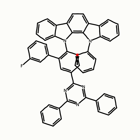 Fc1cccc(-c2cc(-c3nc(-c4ccccc4)nc(-c4ccccc4)n3)ccc2-n2c3ccccc3c3ccc4c5ccccc5n(-c5ccccc5)c4c32)c1